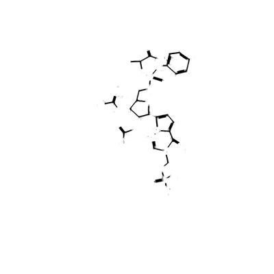 COC(=O)C(C)N[P@](=O)(OC[C@@]1(C#N)O[C@@H](c2ccc3c(=N)n(COP(=O)(O)O)cnn23)[C@H](OC(=O)C(C)C)[C@@H]1OC(=O)C(C)C)Oc1ccccc1